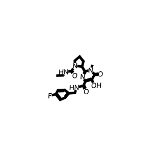 CCNC(=O)N1CCCC1c1nc(C(=O)NCc2ccc(F)cc2)c(O)c(=O)n1C